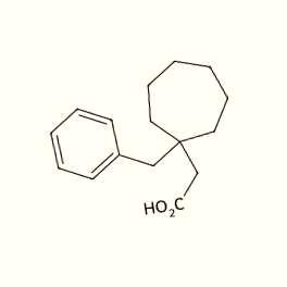 O=C(O)CC1(Cc2ccccc2)CCCCCC1